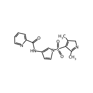 CC1=NCC(C)=C1S(=O)(=O)n1ccc(NC(=O)c2ccccn2)c1